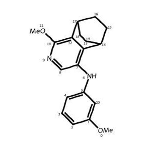 COc1cccc(Nc2cnc(OC)c3c2C2CCC3CC2)c1